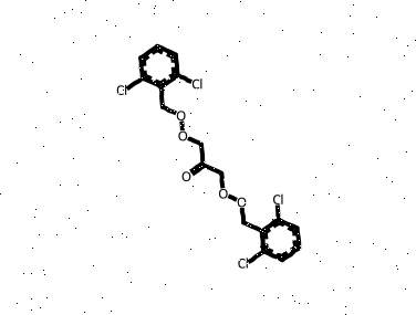 O=C(COOCc1c(Cl)cccc1Cl)COOCc1c(Cl)cccc1Cl